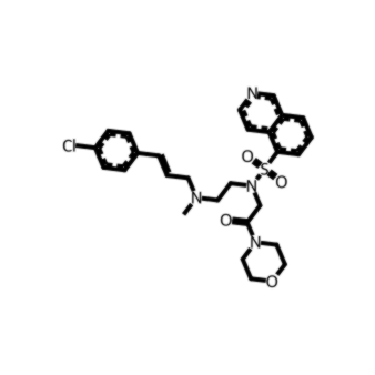 CN(CC=Cc1ccc(Cl)cc1)CCN(CC(=O)N1CCOCC1)S(=O)(=O)c1cccc2cnccc12